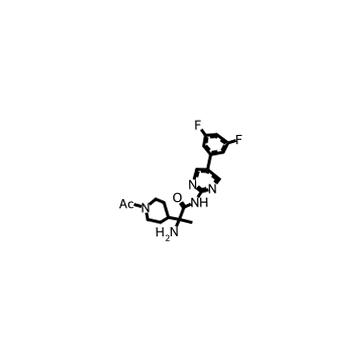 CC(=O)N1CCC(C(C)(N)C(=O)Nc2ncc(-c3cc(F)cc(F)c3)cn2)CC1